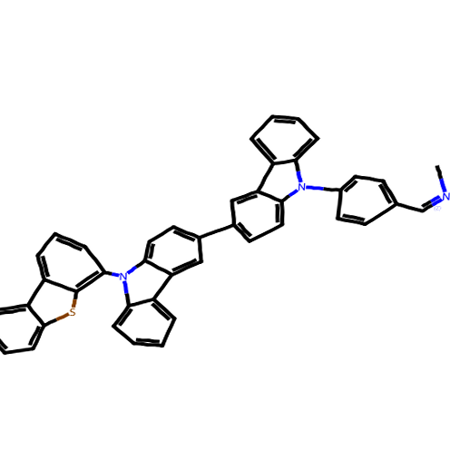 C/N=C\c1ccc(-n2c3ccccc3c3cc(-c4ccc5c(c4)c4ccccc4n5-c4cccc5c4sc4ccccc45)ccc32)cc1